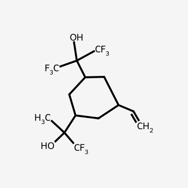 C=CC1CC(C(C)(O)C(F)(F)F)CC(C(O)(C(F)(F)F)C(F)(F)F)C1